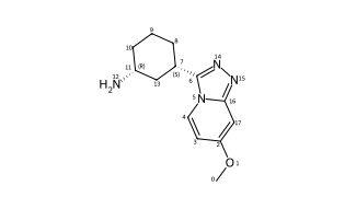 COc1ccn2c([C@H]3CCC[C@@H](N)C3)nnc2c1